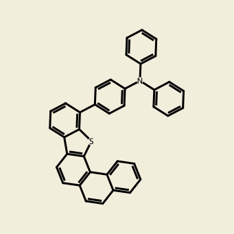 c1ccc(N(c2ccccc2)c2ccc(-c3cccc4c3sc3c4ccc4ccc5ccccc5c43)cc2)cc1